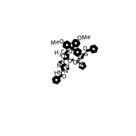 COc1ccc(C(OCC2(C)C[C@@H](OCOP(SCCSC(=O)c3ccccc3)N3CCCC3)[C@H](n3cnc4c(NC(=O)c5ccccc5)ncnc43)O2)(c2ccccc2)c2ccc(OC)cc2)cc1